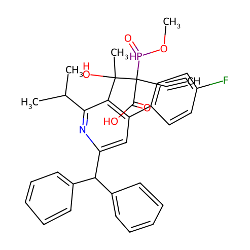 C#CC(C(=O)O)([PH](=O)OC)C(C)(O)c1c(-c2ccc(F)cc2)cc(C(c2ccccc2)c2ccccc2)nc1C(C)C